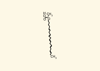 CCC=CCC=CCC=CCC=CCC=CCCCCO[C@H](CC)C(=O)O